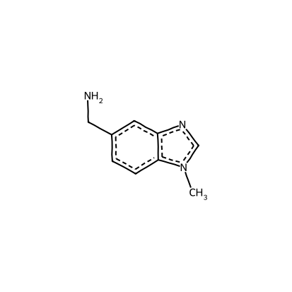 Cn1cnc2cc(CN)ccc21